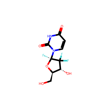 O=c1ccn([C@]2(F)O[C@H](CO)[C@@H](O)C2(F)F)c(=O)[nH]1